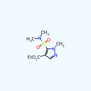 CCOC(=O)c1cnn(C)c1S(=O)(=O)N(C)C